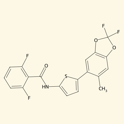 Cc1cc2c(cc1-c1ccc(NC(=O)c3c(F)cccc3F)s1)OC(F)(F)O2